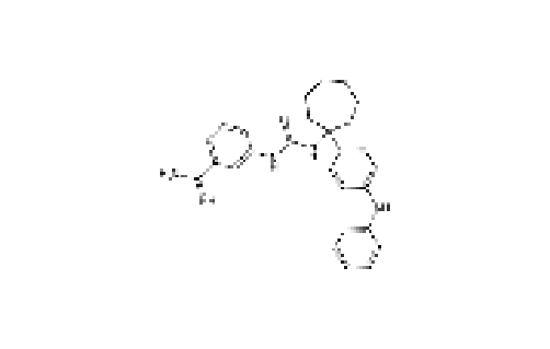 N=C(N)c1cccc(NC(=O)NC2(c3ccc(Nc4ccccc4)cc3)CCCCCC2)c1